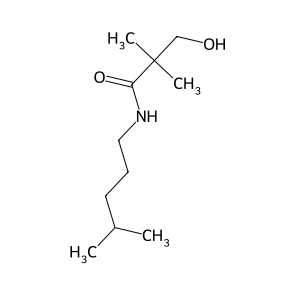 CC(C)CCCNC(=O)C(C)(C)CO